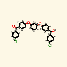 O=C(c1ccc(Cl)cc1)c1ccc(Oc2cccc(Oc3ccc(C(=O)c4ccc(Cl)cc4)cc3)c2)cc1